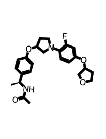 CC(=O)N[C@@H](C)c1ccc(OC2CCN(c3ccc(OC4CCOC4)cc3F)C2)cc1